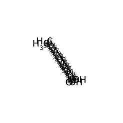 CCCCCCCCCCCCCCCCCCCCCCCCCCC(=O)O.CCCCCCCCCCCCCCCCCCCCCCCCCCC(=O)O